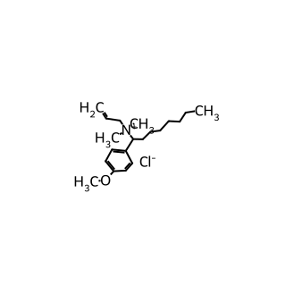 C=CC[N+](C)(C)C(CCCCCCC)c1ccc(OC)cc1.[Cl-]